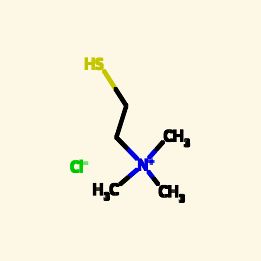 C[N+](C)(C)CCS.[Cl-]